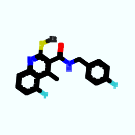 CCSc1nc2cccc(F)c2c(C)c1C(=O)NCc1ccc(F)cc1